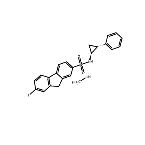 O=C(O)O.O=S(=O)(N[C@H]1C[C@@H]1c1ccccc1)c1ccc2c(c1)Cc1cc(F)ccc1-2